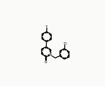 O=c1ccc(-c2ccc(F)cc2)cn1Cc1cccc(Cl)c1